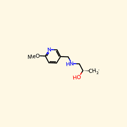 [CH2][C@H](O)CNCc1ccc(OC)nc1